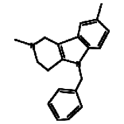 Cc1ccc2c(c1)c1c(n2Cc2ccccc2)CCN(C)C1